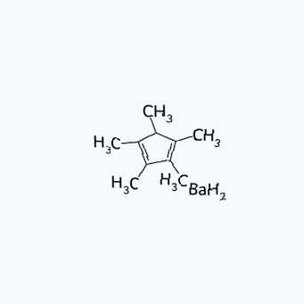 CC1=C(C)C(C)C(C)=C1C.[BaH2]